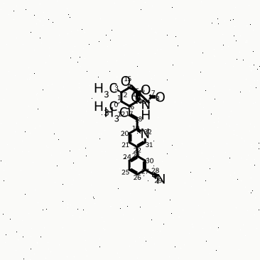 C[C@@H]1[C@@H](C)C[C@]23OC(=O)N[C@]2([C@@H](C)OC3=O)[C@H]1/C=C/c1ccc(-c2cccc(C#N)c2)cn1